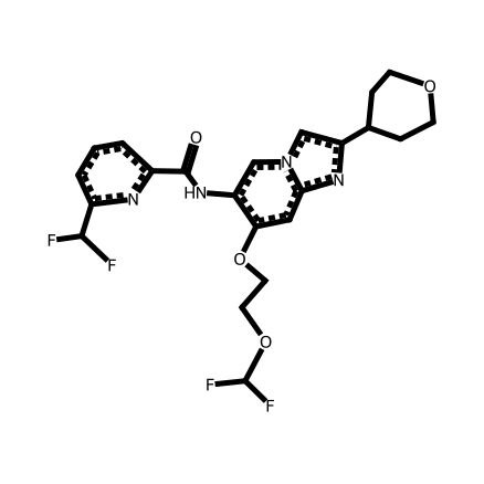 O=C(Nc1cn2cc(C3CCOCC3)nc2cc1OCCOC(F)F)c1cccc(C(F)F)n1